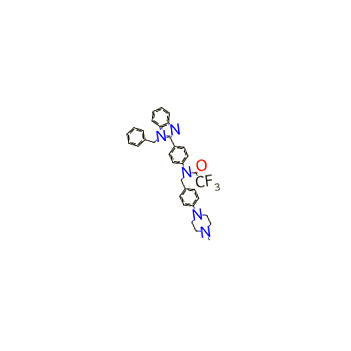 CN1CCN(c2ccc(CN(C(=O)C(F)(F)F)c3ccc(-c4nc5ccccc5n4Cc4ccccc4)cc3)cc2)CC1